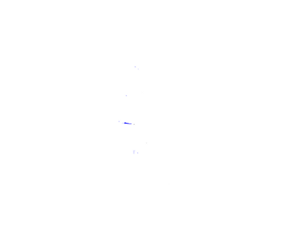 CCSC[C@H](CC(C)C)NC(=O)[C@@H](N)Cc1c[nH]cn1.Cl